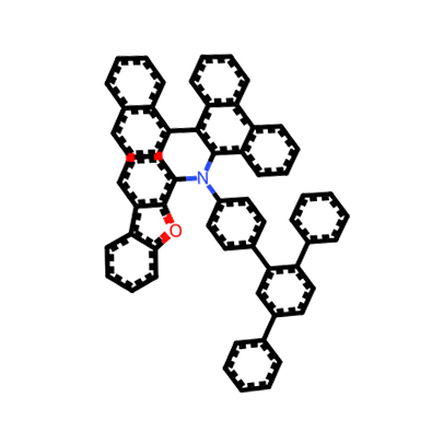 c1ccc(-c2ccc(-c3ccccc3)c(-c3ccc(N(c4c(-c5cccc6ccccc56)c5ccccc5c5ccccc45)c4cccc5c4oc4ccccc45)cc3)c2)cc1